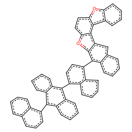 c1ccc2c(-c3c4ccccc4c(-c4ccc(-c5c6ccccc6cc6c5oc5ccc7oc8ccccc8c7c56)c5ccccc45)c4ccccc34)cccc2c1